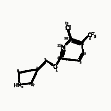 FC(F)(F)c1ccc(OCC2CNC2)nc1Cl